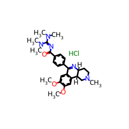 COc1cc2c(cc1OC)[C@H]1CN(C)CC[C@H]1N=C2c1ccc(C(=O)N=C(N(C)C)N(C)C)cc1.Cl